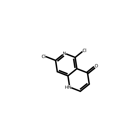 O=c1cc[nH]c2cc(Cl)nc(Cl)c12